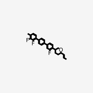 C/C=C/C1CCC(c2ccc(-c3ccc(-c4ccc(C)c(F)c4F)cc3)cc2F)CO1